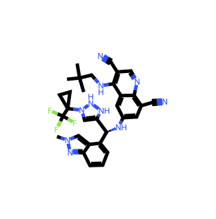 Cn1cc2c([C@H](Nc3cc(C#N)c4ncc(C#N)c(NCC(C)(C)C)c4c3)C3=CN(C4(C(F)(F)F)CC4)NN3)cccc2n1